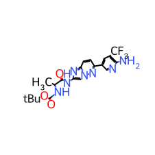 CC(NC(=O)OC(C)(C)C)C(=O)Nc1cn2nc(-c3cnc(N)c(C(F)(F)F)c3)ccc2n1